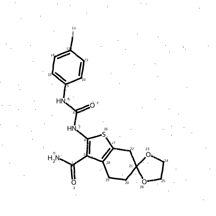 NC(=O)c1c(NC(=O)Nc2ccc(I)cc2)sc2c1CCC1(C2)OCCO1